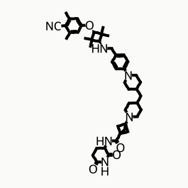 Cc1cc(O[C@H]2C(C)(C)[C@H](NCc3ccc(N4CCC(CC5CCN(C67CC(C(=O)NC8CCC(=O)NC8=O)(C6)C7)CC5)CC4)cc3)C2(C)C)cc(C)c1C#N